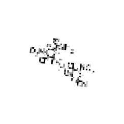 N#Cc1cc(OCCCOc2cc(C(N)=O)cc([N+](=O)[O-])c2Cl)c(Cl)c([N+](=O)[O-])c1